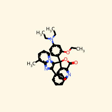 CCOc1cc(N(CC)CC)ccc1C1(c2c(-c3ccccc3)nc3c(C)cccn23)OC(=O)c2ncccc21